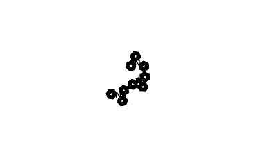 CC1(c2cccc(-c3cccc(-n4c5ccccc5c5ccccc54)c3)c2)c2ccccc2-c2cc(-c3ccc4c(c3)c3ccccc3n4-c3ccccc3)ccc21